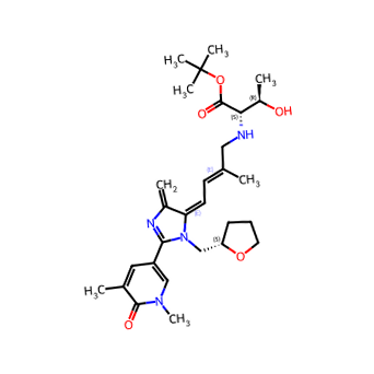 C=c1nc(-c2cc(C)c(=O)n(C)c2)n(C[C@@H]2CCCO2)/c1=C/C=C(\C)CN[C@H](C(=O)OC(C)(C)C)[C@@H](C)O